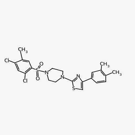 Cc1ccc(-c2csc(N3CCN(S(=O)(=O)c4cc(C)c(Cl)cc4Cl)CC3)n2)cc1C